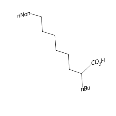 CCCCCCCCCCCCCCCC(CCCC)C(=O)O